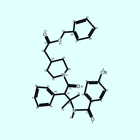 CN(C(=O)c1ccc(C#N)cc1)C(C)(C)C(C(=O)N1CCC(CC(=O)OCc2ccccc2)CC1)c1ccccc1